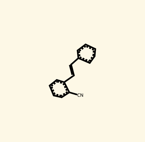 N#Cc1ccccc1C=Cc1ccccc1